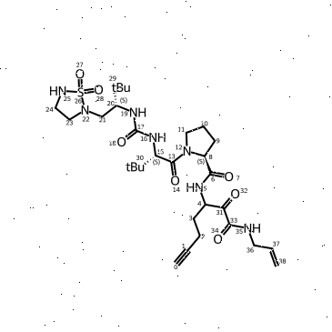 C#CCCC(NC(=O)[C@@H]1CCCN1C(=O)[C@@H](NC(=O)N[C@H](CN1CCNS1(=O)=O)C(C)(C)C)C(C)(C)C)C(=O)C(=O)NCC=C